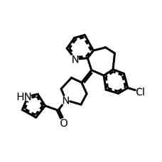 O=C(c1cc[nH]c1)N1CCC(=C2c3ccc(Cl)cc3CCc3cccnc32)CC1